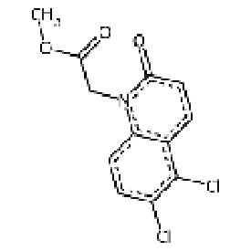 COC(=O)Cn1c(=O)ccc2c(Cl)c(Cl)ccc21